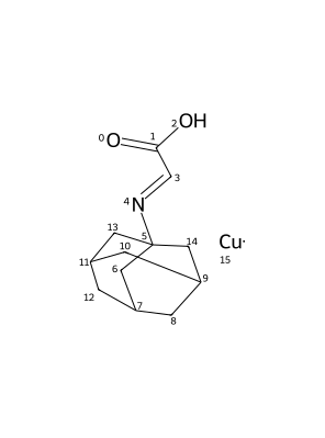 O=C(O)C=NC12CC3CC(CC(C3)C1)C2.[Cu]